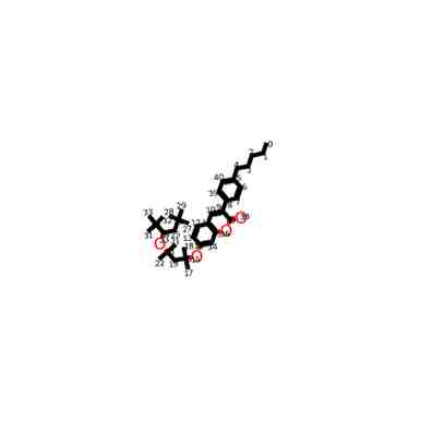 CCCCCc1ccc(-c2cc3ccc(OC(C)(C)CC(C)(C)OC(CC(C)(C)C)C(C)(C)C)cc3oc2=O)cc1